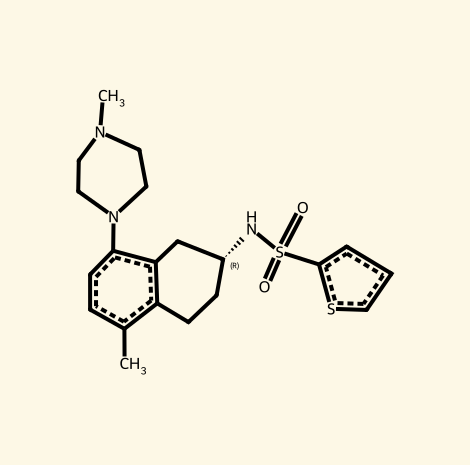 Cc1ccc(N2CCN(C)CC2)c2c1CC[C@@H](NS(=O)(=O)c1cccs1)C2